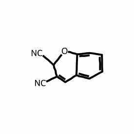 N#CC1=Cc2ccccc2OC1C#N